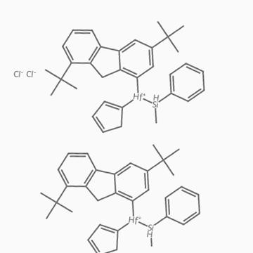 C[SiH](c1ccccc1)[Hf+]([C]1=CC=CC1)[c]1cc(C(C)(C)C)cc2c1Cc1c-2cccc1C(C)(C)C.C[SiH](c1ccccc1)[Hf+]([C]1=CC=CC1)[c]1cc(C(C)(C)C)cc2c1Cc1c-2cccc1C(C)(C)C.[Cl-].[Cl-]